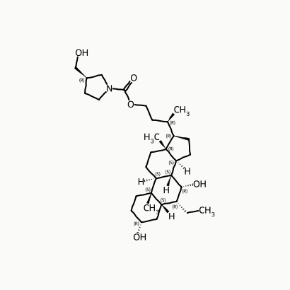 CC[C@H]1[C@@H](O)[C@@H]2[C@H](CC[C@]3(C)[C@@H]([C@H](C)CCOC(=O)N4CC[C@@H](CO)C4)CC[C@@H]23)[C@@]2(C)CC[C@@H](O)C[C@@H]12